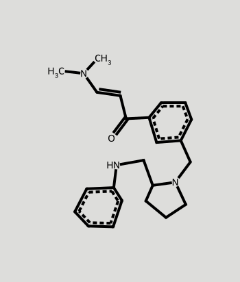 CN(C)C=CC(=O)c1cccc(CN2CCCC2CNc2ccccc2)c1